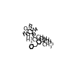 CC(C)(C)c1cc(Cc2ccccc2)cc(C(C)(C)C)c1O.O=C1C=C(N2CC2)C(=O)C(N2CC2)=C1N1CC1